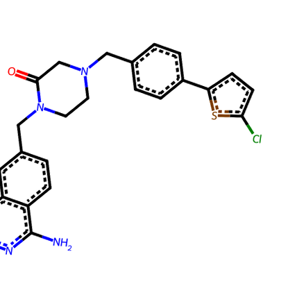 Nc1ncnc2cc(CN3CCN(Cc4ccc(-c5ccc(Cl)s5)cc4)CC3=O)ccc12